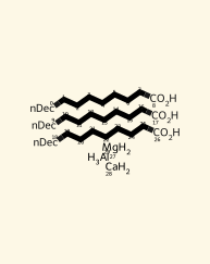 CCCCCCCCCCCCCCCCCC(=O)O.CCCCCCCCCCCCCCCCCC(=O)O.CCCCCCCCCCCCCCCCCC(=O)O.[AlH3].[CaH2].[MgH2]